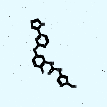 CC(C)(C)n1cc(NC(=O)Nc2cc(Oc3nccc(-c4nnc[nH]4)n3)ccc2F)cn1